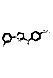 COc1ccc(NC2=NN(c3cccc(F)c3)CC2)cc1